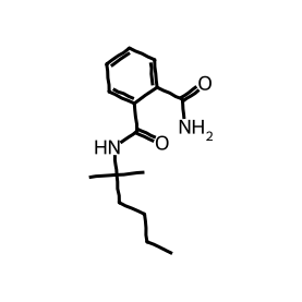 CCCCC(C)(C)NC(=O)c1ccccc1C(N)=O